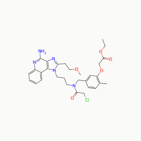 CCOC(=O)COc1cc(CN(CCCn2c(CCOC)nc3c(N)nc4ccccc4c32)C(=O)CCl)ccc1C